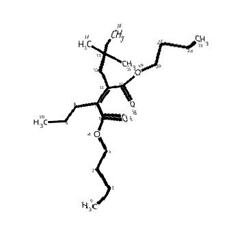 CCCCOC(=O)/C(CCC)=C(/CC(C)(C)C)C(=O)OCCCC